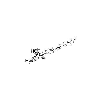 CCCCCCCCC=CCCCCCCCCNC(=O)C(CCCCN)NC(=O)O